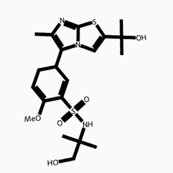 COC1=CCC(c2c(C)nc3sc(C(C)(C)O)cn23)C=C1S(=O)(=O)NC(C)(C)CO